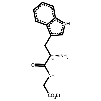 CCOC(=O)CNC(=O)[C@@H](N)Cc1c[nH]c2ccccc12